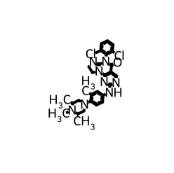 Cc1cc(Nc2ncc3c(n2)N2CCN=C2N(c2c(Cl)cccc2Cl)C3=O)ccc1N1CC(C)N(C)[C@@H](C)C1